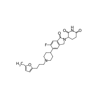 Cc1ccc(CCCN2CCC(c3cc4c(cc3F)C(=O)N(C3CCC(=O)NC3=O)C4)CC2)o1